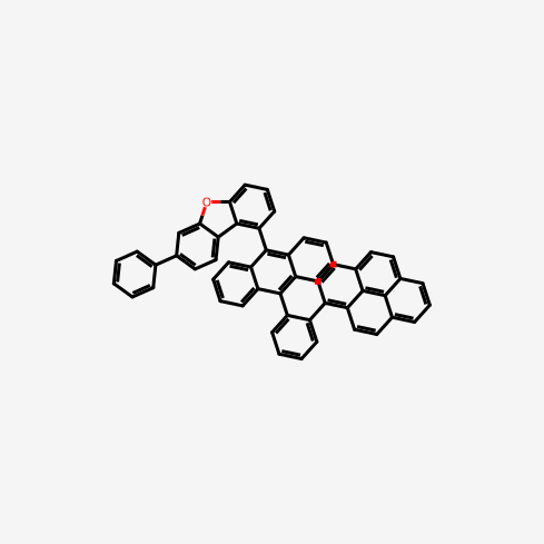 c1ccc(-c2ccc3c(c2)oc2cccc(-c4c5ccccc5c(-c5ccccc5-c5ccc6ccc7cccc8ccc5c6c78)c5ccccc45)c23)cc1